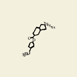 CCCCCCC1CCC2CC(C(=O)Oc3ccc(CCCC)cc3)CCC2C1